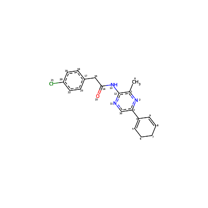 Cc1nc(C2=CCCC=C2)cnc1NC(=O)Cc1ccc(Cl)cc1